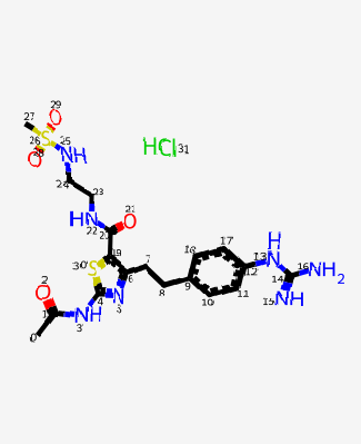 CC(=O)Nc1nc(CCc2ccc(NC(=N)N)cc2)c(C(=O)NCCNS(C)(=O)=O)s1.Cl